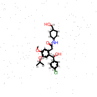 COc1cc(CC(=O)NC2CCC(CO)CC2)c(C(O)c2ccc(Cl)cc2)cc1OC(C)C